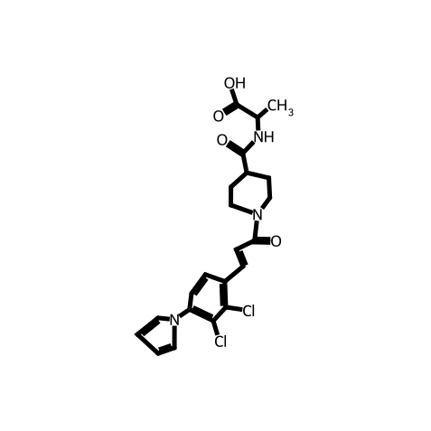 CC(NC(=O)C1CCN(C(=O)C=Cc2ccc(-n3cccc3)c(Cl)c2Cl)CC1)C(=O)O